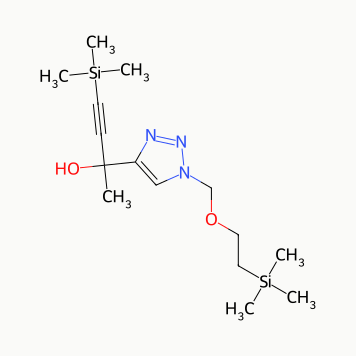 CC(O)(C#C[Si](C)(C)C)c1cn(COCC[Si](C)(C)C)nn1